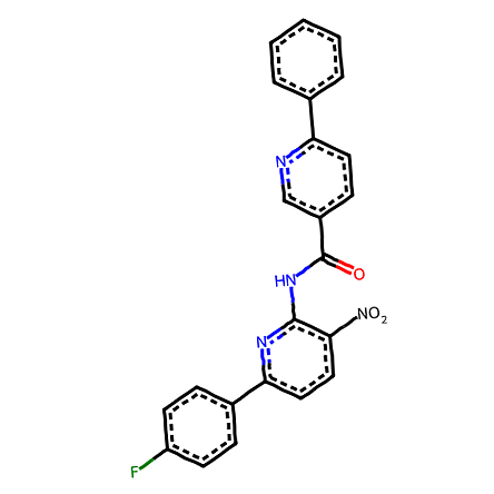 O=C(Nc1nc(-c2ccc(F)cc2)ccc1[N+](=O)[O-])c1ccc(-c2ccccc2)nc1